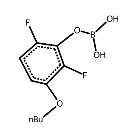 CCCCOc1ccc(F)c(OB(O)O)c1F